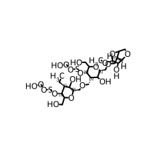 CC[C@H]1C(O)[C@@H](COC[C@H]2C(O)[C@H](COC[C@H]3C4CO[C@H]3C(O)[C@@H](OC)O4)OC(CO)[C@H]2OSOOO)OC(CO)[C@H]1OSOOO